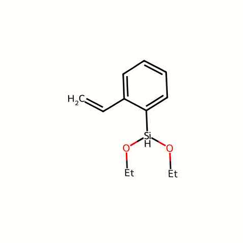 C=Cc1ccccc1[SiH](OCC)OCC